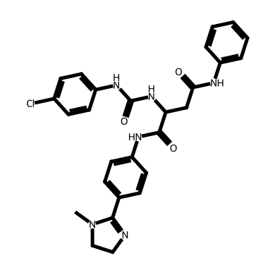 CN1CCN=C1c1ccc(NC(=O)C(CC(=O)Nc2ccccc2)NC(=O)Nc2ccc(Cl)cc2)cc1